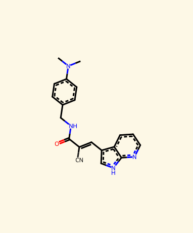 CN(C)c1ccc(CNC(=O)/C(C#N)=C/c2c[nH]c3ncccc23)cc1